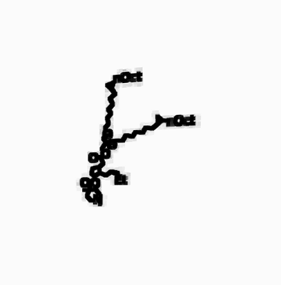 CC/C=C\CC1C(CC(=O)OCC(COCCCCCCCCC2CC2CCCCCCCC)OCCCCCCCCC2CC2CCCCCCCC)CCC1OC(=O)C1(C)CCN(C)CC1